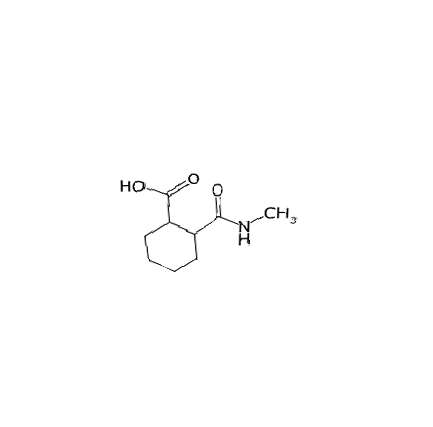 CNC(=O)C1CCCCC1C(=O)O